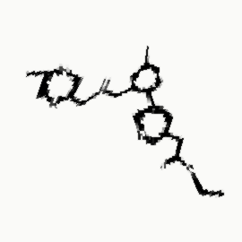 CCOC(=O)Cc1cncc(-c2ccc(C)cc2CNCc2cnc(C)cn2)c1